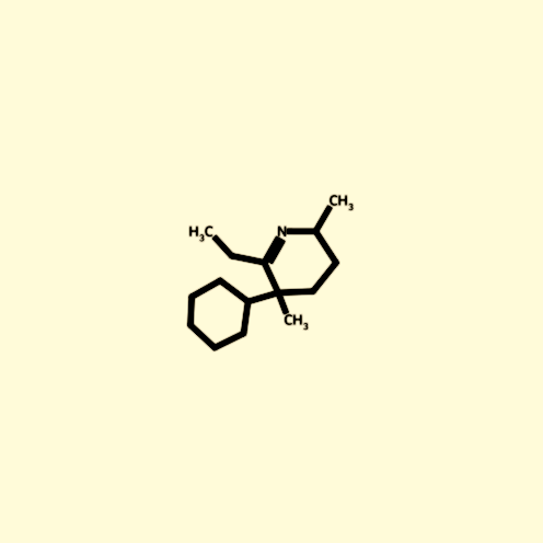 CCC1=NC(C)CCC1(C)C1CCCCC1